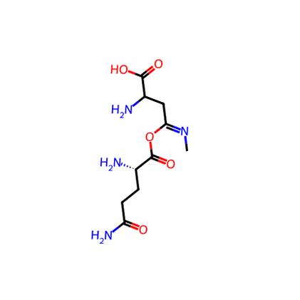 CN=C(CC(N)C(=O)O)OC(=O)[C@@H](N)CCC(N)=O